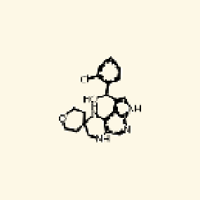 OC(c1ccccc1Cl)c1c[nH]c2ncc3c(c12)NC1(CCOCC1)CN3